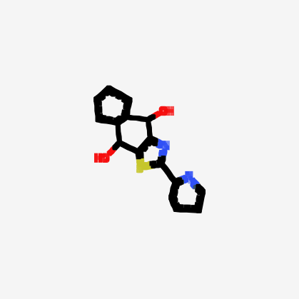 OC1c2ccccc2C(O)c2sc(-c3ccccn3)nc21